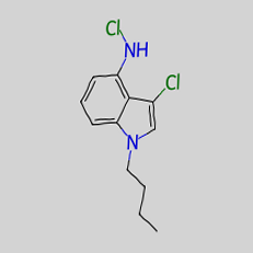 CCCCn1cc(Cl)c2c(NCl)cccc21